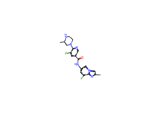 Cc1cn2cc(NC(=O)c3cnc(N4CCNC(C)C4)c(F)c3)cc(F)c2n1